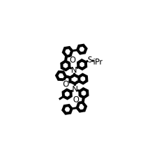 Cc1ccc(N(c2cccc3c2oc2c(-c4ccccc4)cccc23)c2c3ccccc3c(N(c3ccc(SC(C)C)cc3)c3cccc4c3oc3c(-c5ccccc5)cccc34)c3c2oc2ccccc23)cc1